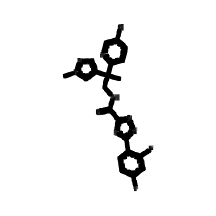 Cn1cc(C(C)(CNC(=O)c2nnc(-c3ccc(F)cc3F)s2)c2ccc(Cl)cn2)cn1